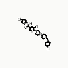 O=C(Nc1ccc(Cl)cn1)c1cnc(N2CCN(C3CCN(Cc4ccc(Cl)cc4)CC3)CC2)c(Cl)c1